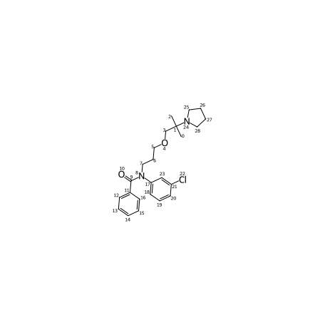 CC(C)(COCCCN(C(=O)c1ccccc1)c1cccc(Cl)c1)N1CCCC1